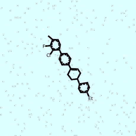 CCc1ccc(C2CC=C(c3ccc(-c4ccc(C)c(F)c4Cl)cc3)CC2)cc1